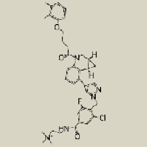 Cc1cccc(OCCCC(=O)N2C[C@@H]3C[C@@H]3c3c(-c4cnn(Cc5c(F)cc(C(=O)NCC[N+](C)(C)C)cc5Cl)c4)cccc32)c1C